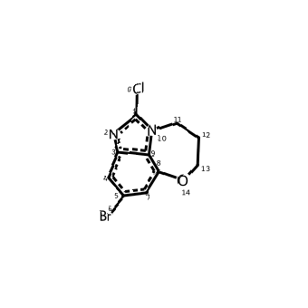 Clc1nc2cc(Br)cc3c2n1CCCO3